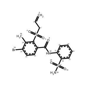 C=CCS(=O)(=O)c1c(C(=O)Nc2ccccc2S(N)(=O)=O)ccc(Br)c1C